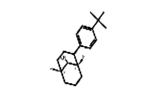 CC(C)(C)c1ccc(C2CC[C@H]3CCC[C@@H]2C3N)cc1